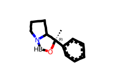 C[C@]1(c2ccccc2)OBN2CCCC21